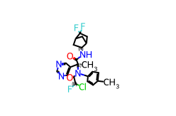 Cc1ccc(N(C(=O)[C@H](F)Cl)[C@](C)(C(=O)N[C@@H]2CC3CC2CC3(F)F)c2cncnc2)cc1